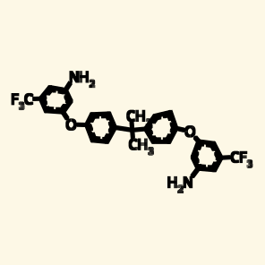 CC(C)(c1ccc(Oc2cc(N)cc(C(F)(F)F)c2)cc1)c1ccc(Oc2cc(N)cc(C(F)(F)F)c2)cc1